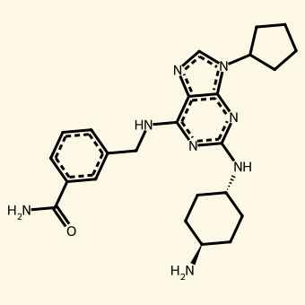 NC(=O)c1cccc(CNc2nc(N[C@H]3CC[C@H](N)CC3)nc3c2ncn3C2CCCC2)c1